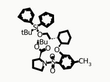 Cc1ccc(S(=O)(=O)N2CCC[C@H]2C(=O)OC(C)(C)C)c(O[C@@H]2CCCC[C@H]2CCO[Si](c2ccccc2)(c2ccccc2)C(C)(C)C)c1